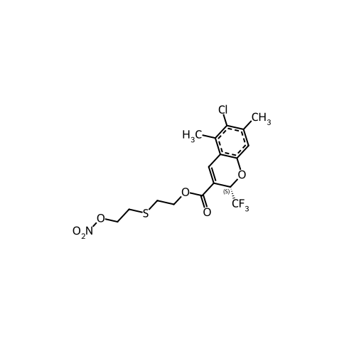 Cc1cc2c(c(C)c1Cl)C=C(C(=O)OCCSCCO[N+](=O)[O-])[C@@H](C(F)(F)F)O2